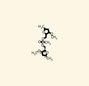 COC1CC(C)OC1COP(C)(=O)OC[C@H]1O[C@@H](C)C[C@H]1OC